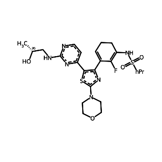 CCCS(=O)(=O)NC1=C(F)C(c2nc(N3CCOCC3)sc2-c2ccnc(NC[C@@H](C)O)n2)=CCC1